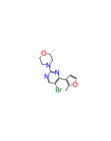 Cc1occc1-c1nc(N2C[C@@H](C)O[C@@H](C)C2)ncc1Br